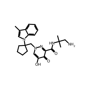 Cc1cn(C2(Cn3cc(O)c(=O)c(C(=O)NC(C)(C)CN)n3)CCCC2)c2ccccc12